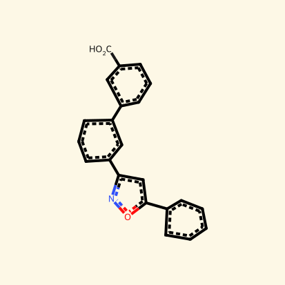 O=C(O)c1cccc(-c2cccc(-c3cc(-c4ccccc4)on3)c2)c1